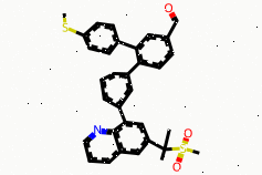 CSc1ccc(-c2cc(C=O)ccc2-c2cccc(-c3cc(C(C)(C)S(C)(=O)=O)cc4cccnc34)c2)cc1